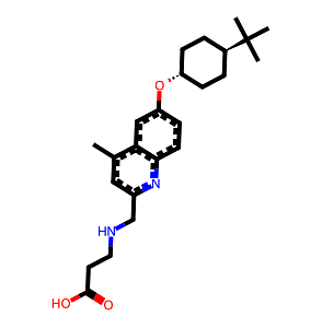 Cc1cc(CNCCC(=O)O)nc2ccc(O[C@H]3CC[C@H](C(C)(C)C)CC3)cc12